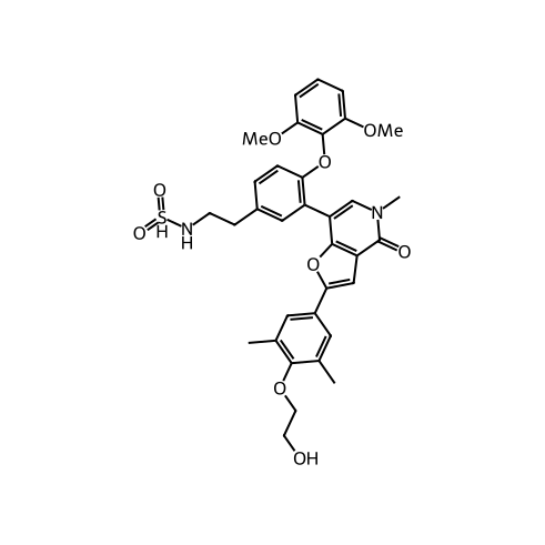 COc1cccc(OC)c1Oc1ccc(CCN[SH](=O)=O)cc1-c1cn(C)c(=O)c2cc(-c3cc(C)c(OCCO)c(C)c3)oc12